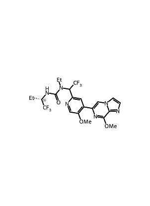 CC[C@H](NC(=O)N(CC)C(c1cc(-c2cn3ccnc3c(OC)n2)c(OC)cn1)C(F)(F)F)C(F)(F)F